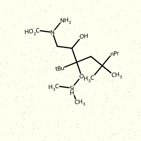 CCCC(C)(C)CC(O[SiH](C)C)(C(O)CN(N)C(=O)O)C(C)(C)C